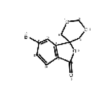 O=C1OC2(COCOC2)c2cc(Br)ccc21